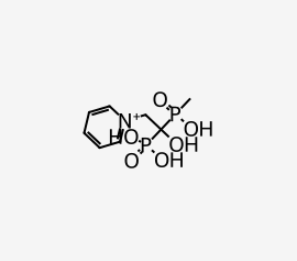 CP(=O)(O)C(O)(C[n+]1ccccc1)P(=O)(O)O